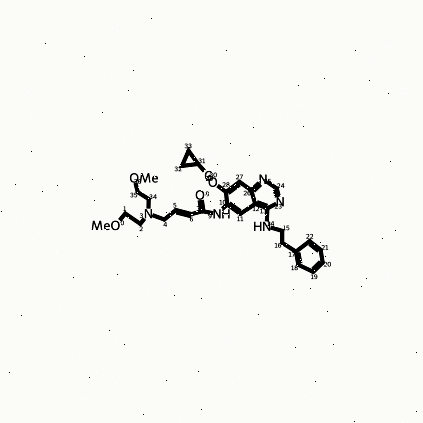 COCCN(CC=CC(=O)Nc1cc2c(NCCc3ccccc3)ncnc2cc1OCC1CC1)CCOC